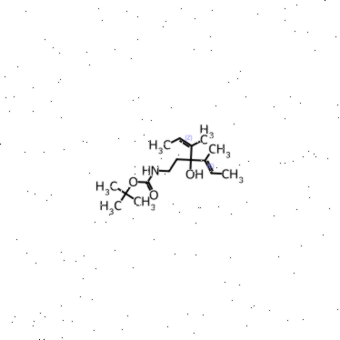 C/C=C(/C)C(O)(CCNC(=O)OC(C)(C)C)/C(C)=C/C